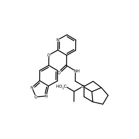 CC(OC1C2CCC1CC(CNC(=O)c1cccnc1Oc1ccc3nonc3c1)C2)C(=O)O